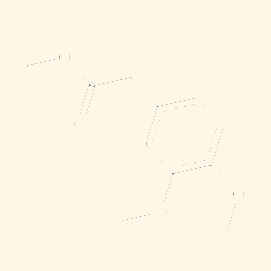 COC(=O)[C@H](C)c1ccc(OC)c(OC)c1